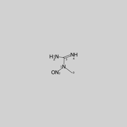 CN(N=O)C(=N)N